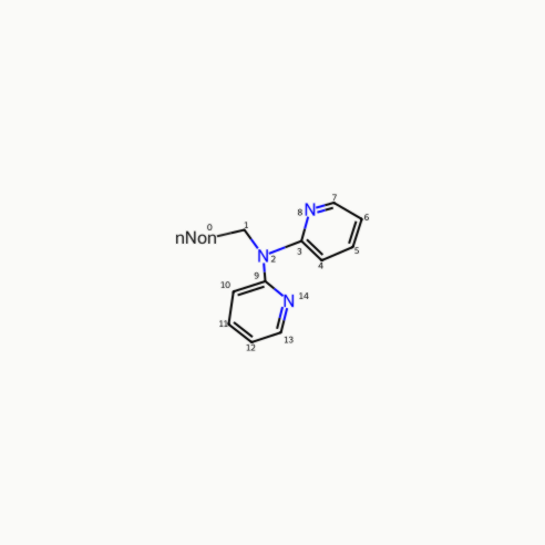 CCCCCCCCCCN(c1ccccn1)c1ccccn1